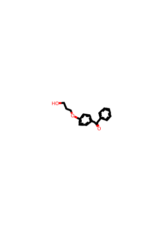 O=C(c1ccccc1)c1ccc(OCCCO)cc1